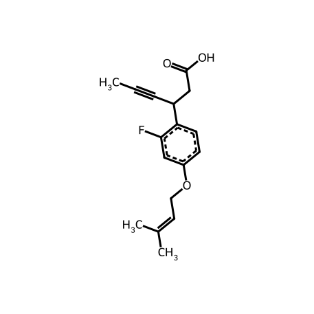 CC#CC(CC(=O)O)c1ccc(OCC=C(C)C)cc1F